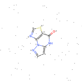 O=c1[nH]c2ccnn2c2ncsc12